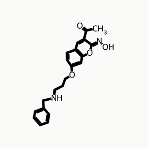 CC(=O)c1cc2ccc(OCCCNCc3ccccc3)cc2oc1=NO